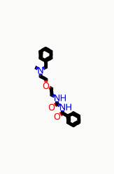 CN(CCOCCNC(=O)NC(=O)c1ccccc1)Cc1ccccc1